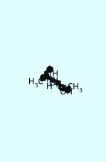 Cc1ccc2c(c1)c(NCC(=O)NC1CN(C3CCC(O)(c4cccc(C)n4)CC3)C1)nn2Cc1ccccc1